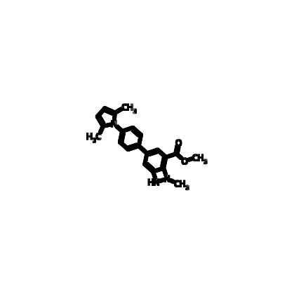 COC(=O)c1cc(-c2ccc(-n3c(C)ccc3C)cc2)cc2[nH]n(C)c12